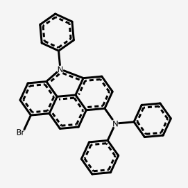 Brc1ccc2c3c1ccc1c(N(c4ccccc4)c4ccccc4)ccc(c13)n2-c1ccccc1